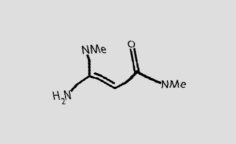 CNC(=O)/C=C(/N)NC